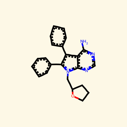 Nc1ncnc2c1c(-c1ccccc1)c(-c1ccccc1)n2CC1CCCO1